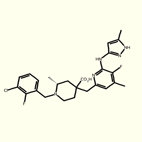 Cc1cc(Nc2nc(CC3(C(=O)O)CCN(Cc4cccc(Cl)c4F)[C@H](C)C3)cc(C)c2F)n[nH]1